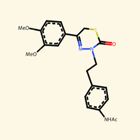 COc1ccc(C2=NN(CCc3ccc(NC(C)=O)cc3)C(=O)SC2)cc1OC